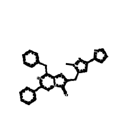 Cn1nc(-c2cccs2)cc1Cc1nc2c(Cc3ccccc3)[nH]c(-c3ccccc3)cn-2c1=O